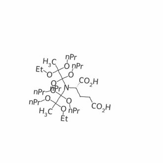 CCCOC(C)(OCC)C(OCCC)(OCCC)N([C@@H](CCC(=O)O)C(=O)O)C(OCCC)(OCCC)C(C)(OCC)OCCC